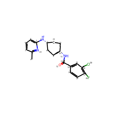 Cc1cccc(N[C@H]2CC[C@@H](NC(=O)c3ccc(F)c(Cl)c3)CC2)n1